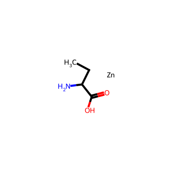 CCC(N)C(=O)O.[Zn]